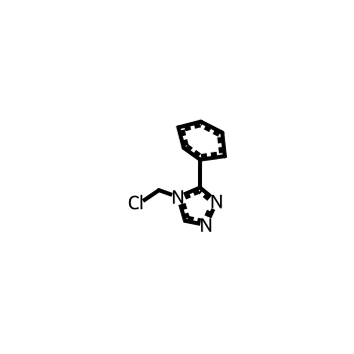 ClCn1cnnc1-c1ccccc1